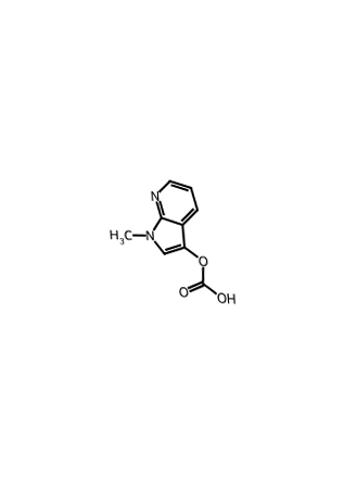 Cn1cc(OC(=O)O)c2cccnc21